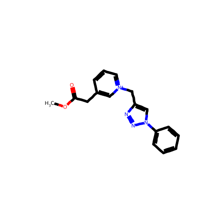 COC(=O)Cc1ccc[n+](Cc2cn(-c3ccccc3)nn2)c1